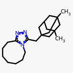 CC12CC3CC(C)(C1)CC(Cc1nnc4n1CCCCCCC4)(C3)C2